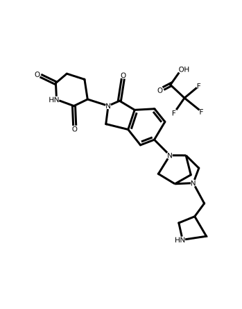 O=C(O)C(F)(F)F.O=C1CCC(N2Cc3cc(N4CC5CC4CN5CC4CNC4)ccc3C2=O)C(=O)N1